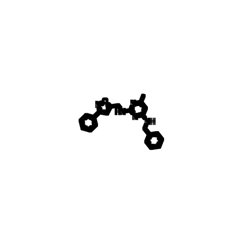 Cc1cc(NCc2ccccc2)nc(NCc2cc(-c3ccccc3)no2)n1